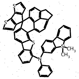 C[Si]1(C)c2ccccc2-c2ccc(N(c3ccccc3)c3cccc4c3sc3c5c(ccc34)C3(c4ccsc4-c4sccc43)c3ccc4c6c(ccc-5c36)CC4)cc21